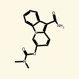 CN(C)C(=O)Oc1ccc2c(C(N)=O)c3ccccc3n2c1